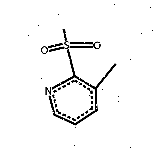 Cc1c[c]cnc1S(C)(=O)=O